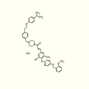 COc1ccccc1COc1ccc(Oc2c(C)cc(/C=C/C(=O)N3CCN(Cc4ccc(CCOc5ccc(C(C)C)cc5)cc4)CC3)cc2Cl)nc1.Cl